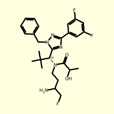 CC(O)C(=O)N(CCC(N)CF)[C@@H](c1nc(-c2cc(F)cc(F)c2)nn1Cc1ccccc1)C(C)(C)C